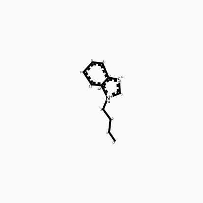 CCCC[n+]1csc2ccccc21